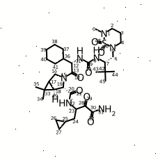 CN1CCCN(C[C@@H](NC(=O)N[C@H](C(=O)N2CC3[C@@H]([C@H]2C(=O)NC(CC2CC2)C(=O)C(N)=O)C3(C)C)C2CCCCC2)C(C)(C)C)S1(=O)=O